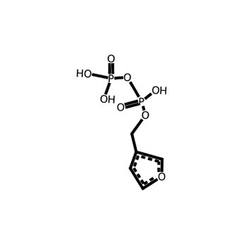 O=P(O)(O)OP(=O)(O)OCc1ccoc1